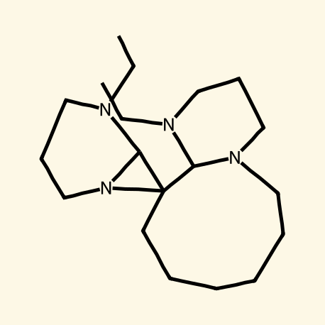 CCN1CCCN2CCCCCCC3(C12)C1N(CC)CCCN13